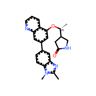 Cc1nc2cc(-c3cc(O[C@H](C)C4CNC(=O)C4)c4cccnc4c3)ccc2n1C